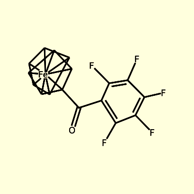 O=C(c1c(F)c(F)c(F)c(F)c1F)[C]12[CH]3[CH]4[CH]5[CH]1[Fe]45321678[CH]2[CH]1[CH]6[CH]7[CH]28